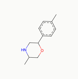 Cc1ccc(C2CNC(C)CO2)cc1